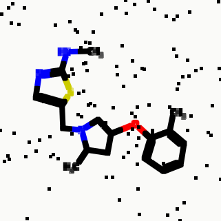 CNc1ncc(CN2CC(Oc3ccccc3C)CC2C)s1